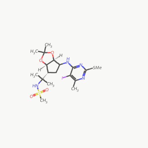 CSc1nc(C)c(I)c(NC2C[C@H](C(C)(C)NS(C)(=O)=O)[C@H]3OC(C)(C)O[C@@H]23)n1